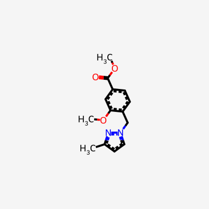 COC(=O)c1ccc(Cn2ccc(C)n2)c(OC)c1